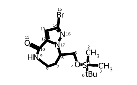 CC(C)(C)[Si](C)(C)OCC1CCNC(=O)c2cc(Br)nn21